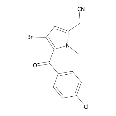 Cn1c(CC#N)cc(Br)c1C(=O)c1ccc(Cl)cc1